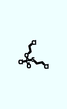 O=P(Cl)(OCCCl)SCCCl